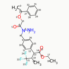 C=C(OCC(=O)N(N)Cc1ccc(C(C(=O)OCC)C(C)C(F)(F)F)cc1)c1ccccc1